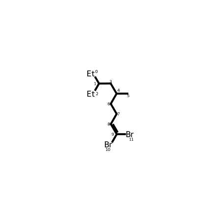 CCC(CC)CC(C)CCC=C(Br)Br